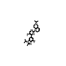 Cc1nc2c(F)cc(-c3nc(N4CC=CC5=C4CCN(C(C)C)C5)ncc3F)cc2n1C(C)C